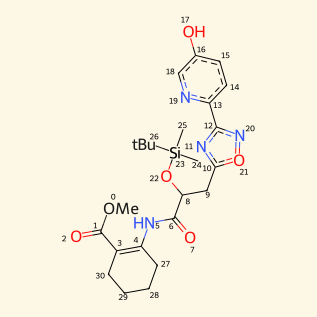 COC(=O)C1=C(NC(=O)C(Cc2nc(-c3ccc(O)cn3)no2)O[Si](C)(C)C(C)(C)C)CCCC1